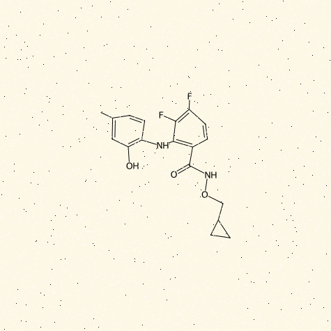 Cc1ccc(Nc2c(C(=O)NOCC3CC3)ccc(F)c2F)c(O)c1